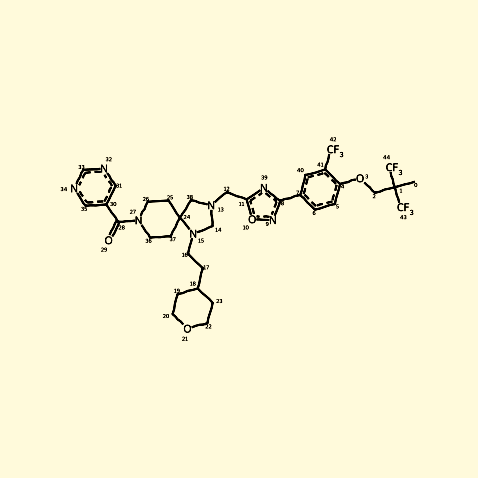 CC(COc1ccc(-c2noc(CN3CN(CCC4CCOCC4)C4(CCN(C(=O)c5cncnc5)CC4)C3)n2)cc1C(F)(F)F)(C(F)(F)F)C(F)(F)F